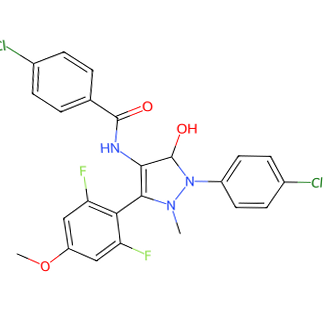 COc1cc(F)c(C2=C(NC(=O)c3ccc(Cl)cc3)C(O)N(c3ccc(Cl)cc3)N2C)c(F)c1